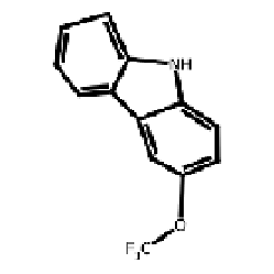 FC(F)(F)Oc1ccc2[nH]c3ccccc3c2c1